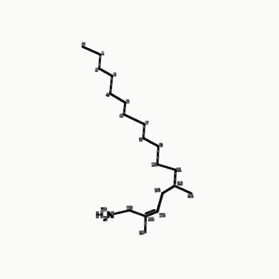 CCCCCCCCCCCCC(C)CC=C(C)CN